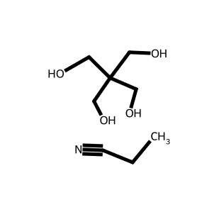 CCC#N.OCC(CO)(CO)CO